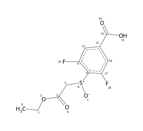 CCOC(=O)C[S+]([O-])c1c(F)cc(C(=O)O)cc1F